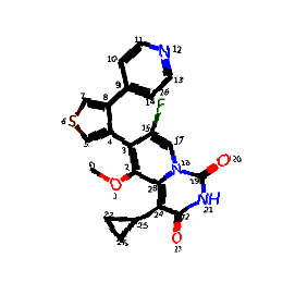 COc1c(-c2cscc2-c2ccncc2)c(F)cn2c(=O)[nH]c(=O)c(C3CC3)c12